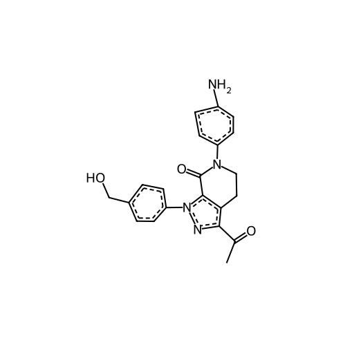 CC(=O)c1nn(-c2ccc(CO)cc2)c2c1CCN(c1ccc(N)cc1)C2=O